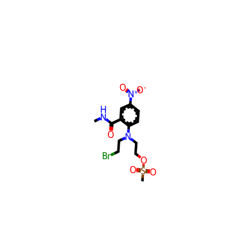 CNC(=O)c1cc([N+](=O)[O-])ccc1N(CCBr)CCOS(C)(=O)=O